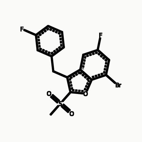 CS(=O)(=O)c1oc2c(Br)cc(F)cc2c1Cc1cccc(F)c1